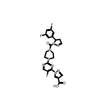 O=C(O)c1cnn(-c2nc(N3CCN(C(=O)N4N=CCC4c4cc(F)cc(F)c4)CC3)ncc2F)c1